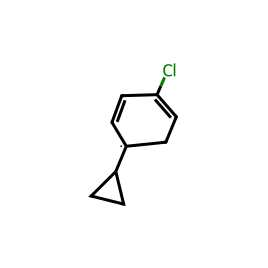 ClC1=CC[C](C2CC2)C=C1